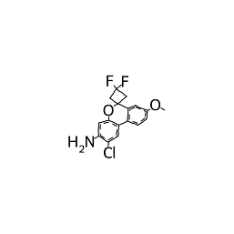 COc1ccc2c(c1)C1(CC(F)(F)C1)Oc1cc(N)c(Cl)cc1-2